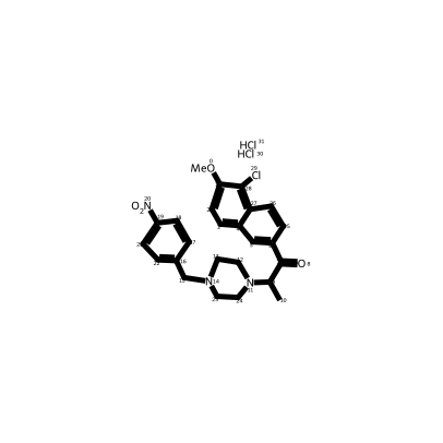 COc1ccc2cc(C(=O)C(C)N3CCN(Cc4ccc([N+](=O)[O-])cc4)CC3)ccc2c1Cl.Cl.Cl